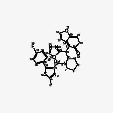 Cc1nc(C(=O)N2CCCCC2C(C2=c3ccoc3=CCC2=O)c2nnco2)c(-c2ccc(F)cc2)s1